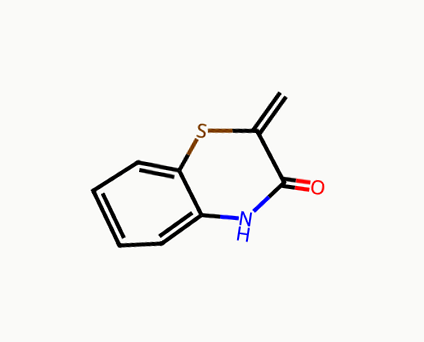 C=C1Sc2ccccc2NC1=O